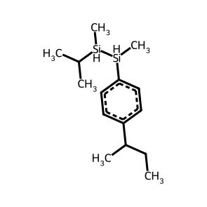 CCC(C)c1ccc([SiH](C)[SiH](C)C(C)C)cc1